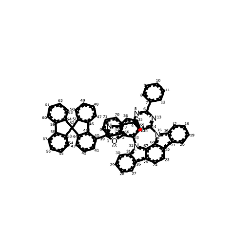 c1ccc(-c2nc(-c3ccccc3)nc(-n3c4ccccc4c4ccc5c6ccccc6n(-c6cccc7nc(-c8cccc9c8-c8ccccc8C98c9ccccc9-c9ccccc98)oc67)c5c43)n2)cc1